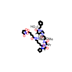 CC[C@H](C)[C@@H]([C@@H](CC(=O)N1CCC[C@H]1[C@H](OC)[C@@H](C)C(=O)N[C@@H](Cc1ccccc1)C(=O)O)OC)N(C)C(=O)[C@@H](NC(=O)[C@H](C)N(C(=O)CCCCCNC(=O)CCCC(=O)ON1C(=O)CCC1=O)C1CCCC1)C(C)C